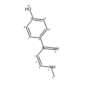 CN/C=C\C(=N)c1ccc(O)cc1